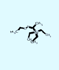 CCON=C(C)[Si](CC)(CC)CC